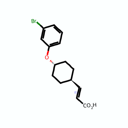 O=C(O)/C=C/[C@H]1CC[C@H](Oc2cccc(Br)c2)CC1